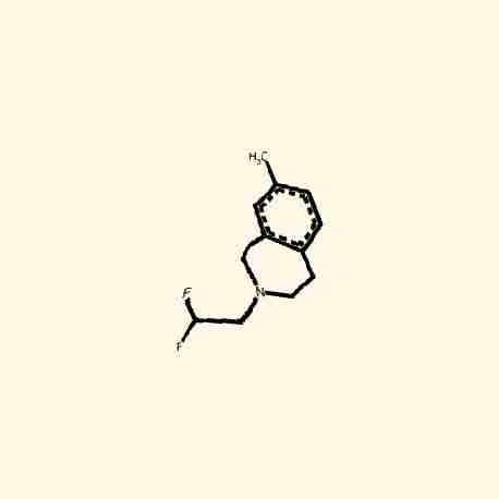 Cc1ccc2c(c1)CN(CC(F)F)CC2